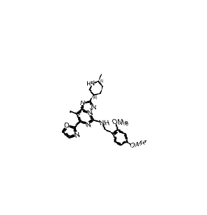 COc1ccc(CNc2nc(-c3ncco3)c(C)c3nc([C@@H]4CC[C@H](C)NC4)nn23)c(OC)c1